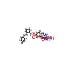 O=C(OCc1ccccc1C=Cc1ccccc1)c1ccc(CN2CC(O)NS2(O)O)cc1